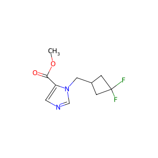 COC(=O)c1cncn1CC1CC(F)(F)C1